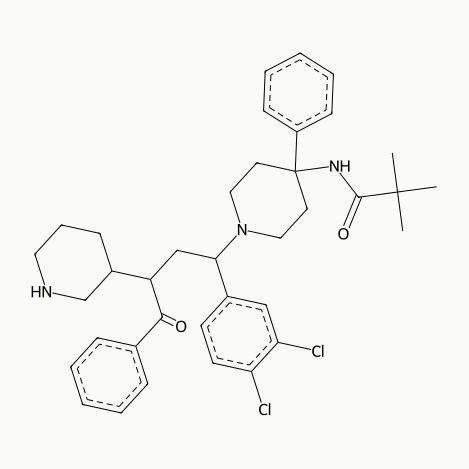 CC(C)(C)C(=O)NC1(c2ccccc2)CCN(C(CC(C(=O)c2ccccc2)C2CCCNC2)c2ccc(Cl)c(Cl)c2)CC1